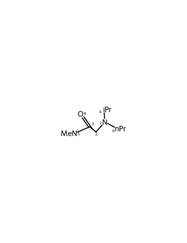 CCCN(CC(=O)NC)C(C)C